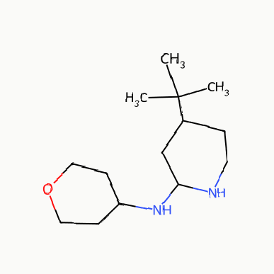 CC(C)(C)C1CCNC(NC2CCOCC2)C1